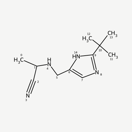 CC(C#N)NCc1cnc(C(C)(C)C)[nH]1